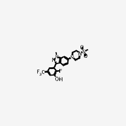 Cn1nc(-c2cc(C(F)(F)F)cc(O)c2F)c2ccc(N3CCN(S(C)(=O)=O)CC3)cc21